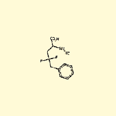 Cl.NC(CC(F)(F)Cc1ccccc1)C(=O)O